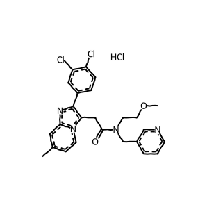 COCCN(Cc1cccnc1)C(=O)Cc1c(-c2ccc(Cl)c(Cl)c2)nc2cc(C)ccn12.Cl